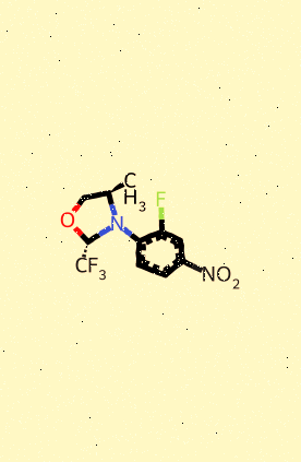 C[C@@H]1CO[C@@H](C(F)(F)F)N1c1ccc([N+](=O)[O-])cc1F